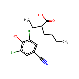 CCCCC(CC)C(=O)O.N#Cc1cc(Br)c(O)c(Br)c1